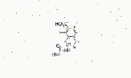 Cc1c(C(=O)O)ccc2c1C[C@@H](NC(=O)C(C)(C)C)CC2